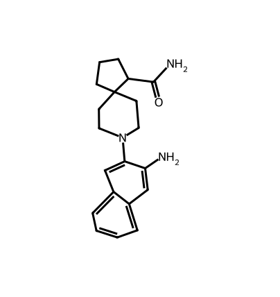 NC(=O)C1CCCC12CCN(c1cc3ccccc3cc1N)CC2